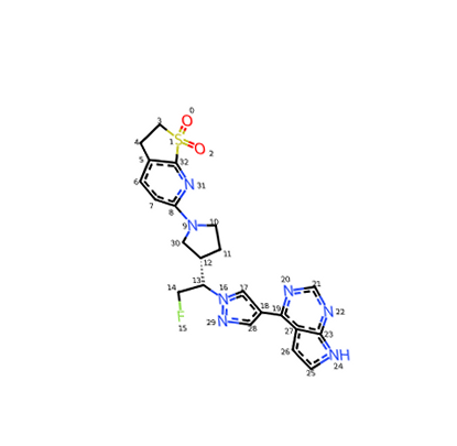 O=S1(=O)CCc2ccc(N3CC[C@H](C(CF)n4cc(-c5ncnc6[nH]ccc56)cn4)C3)nc21